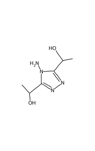 CC(O)c1nnc(C(C)O)n1N